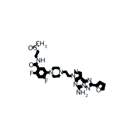 C[S@@+]([O-])CCNC(=O)c1cc(N2CCN(CCn3ncc4c3nc(N)n3nc(-c5ccco5)nc43)CC2)c(F)cc1F